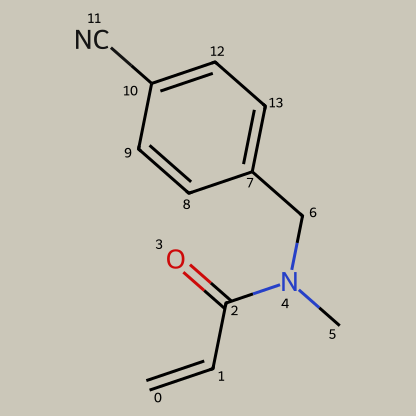 C=CC(=O)N(C)Cc1ccc(C#N)cc1